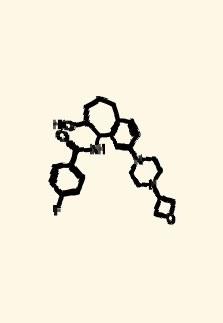 O=C(NC1c2cc(N3CCN(C4COC4)CC3)ccc2CCCC1O)c1ccc(F)cc1